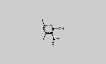 CC(=O)c1c(C)cc(C)cc1O